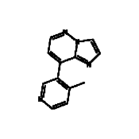 Cc1ccncc1-c1ccnn2ccnc12